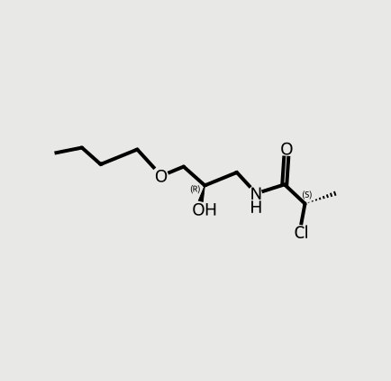 CCCCOC[C@H](O)CNC(=O)[C@H](C)Cl